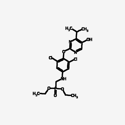 CCOP(=O)(CNc1cc(Cl)c(Oc2ncc(O)c(C(C)C)n2)c(Cl)c1)OCC